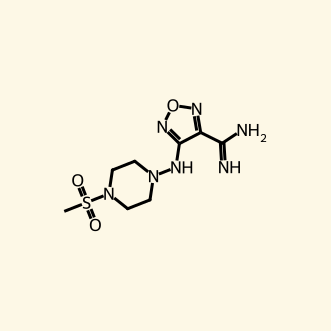 CS(=O)(=O)N1CCN(Nc2nonc2C(=N)N)CC1